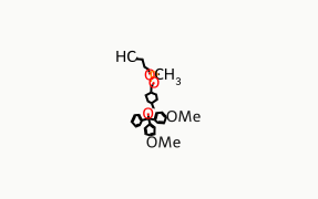 C#CCCCOP(C)OCC1CCC(COC(c2ccccc2)(c2ccc(OC)cc2)c2ccc(OC)cc2)CC1